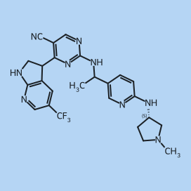 CC(Nc1ncc(C#N)c(C2CNc3ncc(C(F)(F)F)cc32)n1)c1ccc(N[C@H]2CCN(C)C2)nc1